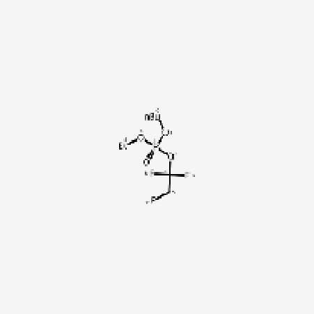 CCCCOP(=O)(OCC)OC(F)(F)CF